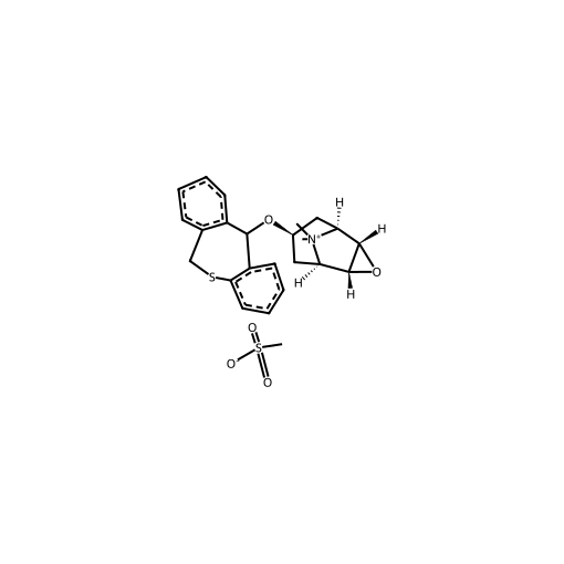 CS(=O)(=O)[O-].C[N+]1(C)[C@@H]2C[C@@H](OC3c4ccccc4CSc4ccccc43)C[C@H]1[C@@H]1O[C@@H]12